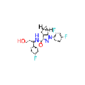 O=C(N[C@H](CCO)c1ccc(F)cc1)c1nn(-c2ccc(F)cc2F)c2c1C[C@@H]1C[C@H]21